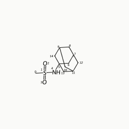 CS(=O)(=O)NC12C[C]3CC(CC(C3)C1)C2